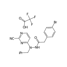 CC(C)CN(NC(=O)Cc1ccc(Br)cc1)c1ccnc(C#N)n1.O=C(O)C(F)(F)F